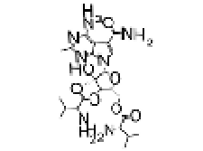 Cc1nc(N)c2c(C(N)=O)cn([C@@H]3O[C@H](COC(=O)[C@@H](N)C(C)C)C(OC(=O)C(N)C(C)C)[C@@]3(C)O)c2n1